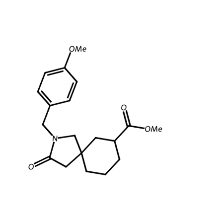 COC(=O)C1CCCC2(CC(=O)N(Cc3ccc(OC)cc3)C2)C1